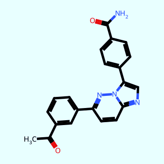 CC(=O)c1cccc(-c2ccc3ncc(-c4ccc(C(N)=O)cc4)n3n2)c1